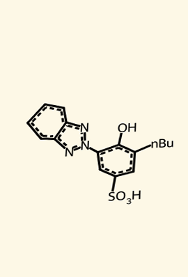 CCCCc1cc(S(=O)(=O)O)cc(-n2nc3ccccc3n2)c1O